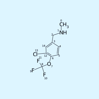 CNCc1ccc(OC(F)(F)F)c(Cl)c1